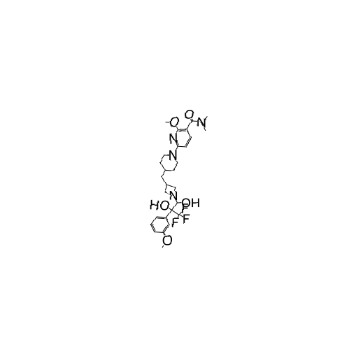 COc1cccc(C(O)(C(O)N2CC(CC3CCN(c4ccc(C(=O)N(C)C)c(OC)n4)CC3)C2)C(F)(F)F)c1